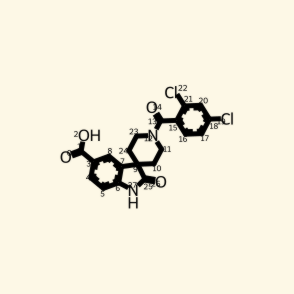 O=C(O)c1ccc2c(c1)C1(CCN(C(=O)c3ccc(Cl)cc3Cl)CC1)C(=O)N2